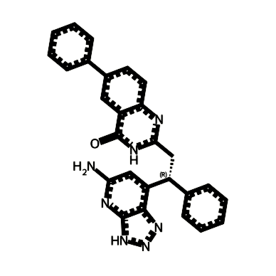 Nc1cc([C@H](Cc2nc3ccc(-c4ccccc4)cc3c(=O)[nH]2)c2ccccc2)c2nn[nH]c2n1